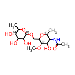 CO[C@@H]1C(CO[C@@H]2OC(C)[C@@H](O)C(O)C2O)O[C@@H](C)C(NC(C)=O)C1O